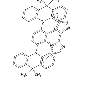 Cc1cnc2c3ncc(C)n3c3c(N4c5ccccc5C(C)(C)c5ccccc54)ccc(N4c5ccccc5C(C)(C)c5ccccc54)c3n12